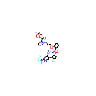 CN(C(=O)c1ccc(Cl)c(-c2cnc(C(F)(F)F)cc2C#N)c1)c1ccccc1OCCCN1CCCC1C(=O)OC(C)(C)C